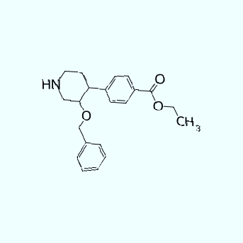 CCOC(=O)c1ccc(C2CCNCC2OCc2ccccc2)cc1